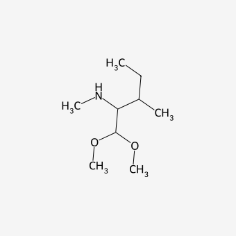 CCC(C)C(NC)C(OC)OC